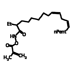 C=C(C)C(=O)ONC(=O)C(CC)CCCCCC/C=C\C/C=C\CCCCC